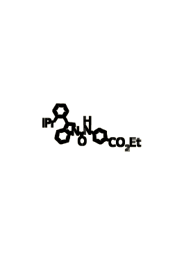 CCOC(=O)c1ccc(NC(=O)n2cc(-c3ccccc3C(C)C)c3ccccc32)cc1